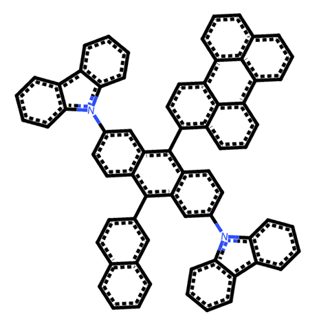 c1ccc2cc(-c3c4cc(-n5c6ccccc6c6ccccc65)ccc4c(-c4ccc5c6cccc7cccc(c8cccc4c85)c76)c4cc(-n5c6ccccc6c6ccccc65)ccc34)ccc2c1